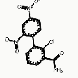 NC(=O)c1cccc(-c2ccc([N+](=O)[O-])cc2[N+](=O)[O-])c1Cl